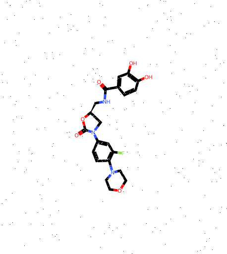 O=C(NC[C@H]1CN(c2ccc(N3CCOCC3)c(F)c2)C(=O)O1)c1ccc(O)c(O)c1